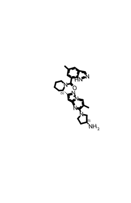 Cc1cc(C(=O)N2CCCC[C@H]2c2cc3nc(N4CC[C@H](N)C4)c(C)cn3n2)c2[nH]ncc2c1